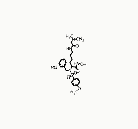 COc1ccc(S(=O)(=O)N(Cc2ccccc2)C(CCCCNC(=O)CN(C)C)C(=O)NO)cc1.Cl